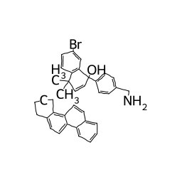 CC1(C)C=CC(O)(c2ccc(CN)cc2)c2cc(Br)ccc21.c1ccc2c(c1)ccc1c3c(ccc12)CCCC3